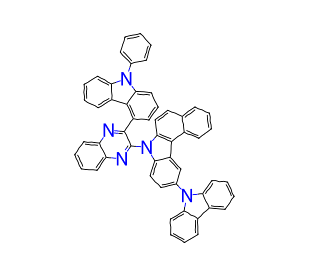 c1ccc(-n2c3ccccc3c3c(-c4nc5ccccc5nc4-n4c5ccc(-n6c7ccccc7c7ccccc76)cc5c5c6ccccc6ccc54)cccc32)cc1